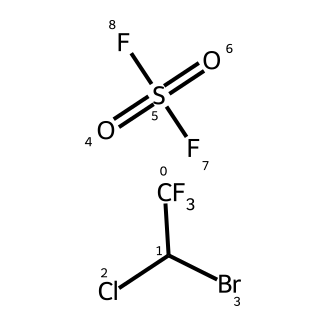 FC(F)(F)C(Cl)Br.O=S(=O)(F)F